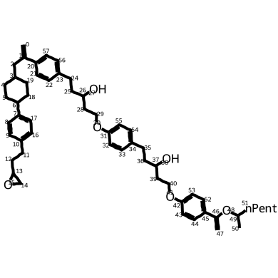 C=C(CC1CCC(c2ccc(CCC3CO3)cc2)CC1)c1ccc(CCC(O)CCOc2ccc(CCC(O)CCOc3ccc(C(=C)OC(C)CCCCC)cc3)cc2)cc1